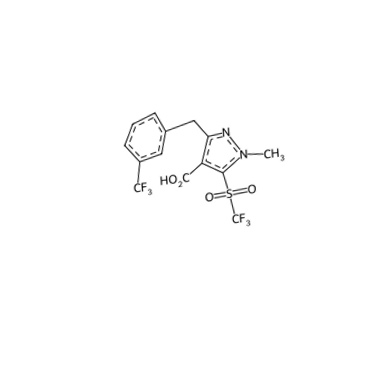 Cn1nc(Cc2cccc(C(F)(F)F)c2)c(C(=O)O)c1S(=O)(=O)C(F)(F)F